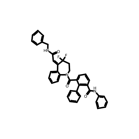 O=C(C=C1c2ccccc2N(C(=O)c2cccc(C(=O)Nc3ccccc3)c2-c2ccccc2)CCC1(F)F)NCc1ccccc1